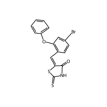 O=C1NC(=S)S/C1=C/c1ccc(Br)cc1Oc1ccccc1